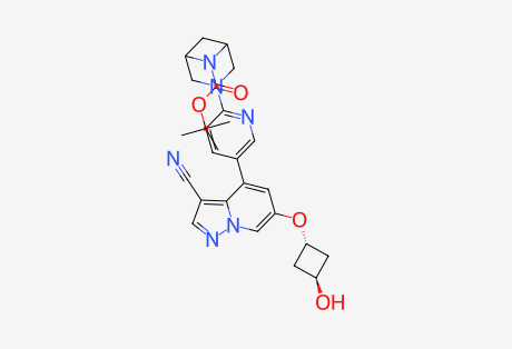 CC(C)(C)OC(=O)N1C2CC1CN(c1ccc(-c3cc(O[C@H]4C[C@H](O)C4)cn4ncc(C#N)c34)cn1)C2